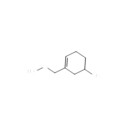 COCC1=CCCC(C)C1